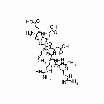 CSCC[C@@H](NC(=O)[C@H](CC(=O)O)NC(=O)[C@H](CCCNC(=N)N)NC(=O)[C@H](CCCNC(=N)N)NC(C)=O)C(=O)N[C@@H](CCC(=O)O)C(=O)N[C@@H](CCC(=O)O)C(N)=O